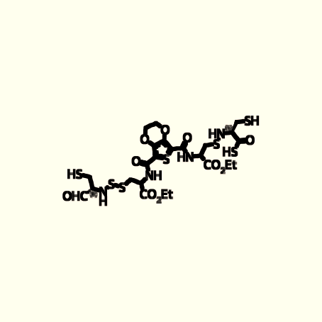 CCOC(=O)C(CSN[C@@H](CS)C(=O)S)NC(=O)c1sc(C(=O)NC(CSSN[C@H](C=O)CS)C(=O)OCC)c2c1OCCO2